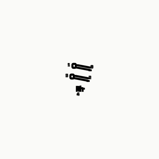 [C]=O.[C]=O.[Rh]